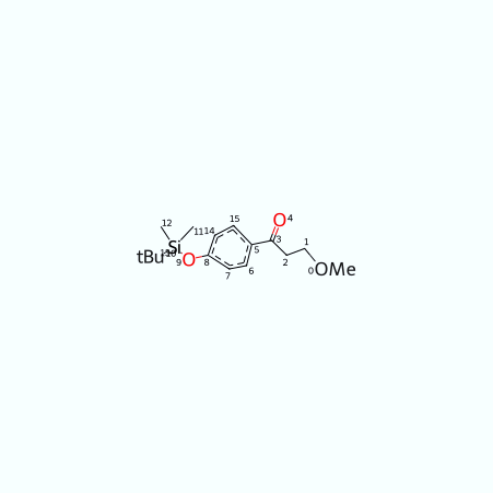 COCCC(=O)c1ccc(O[Si](C)(C)C(C)(C)C)cc1